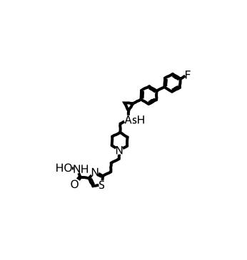 O=C(NO)c1csc(CCCN2CCC(C[AsH]C3CC3c3ccc(-c4ccc(F)cc4)cc3)CC2)n1